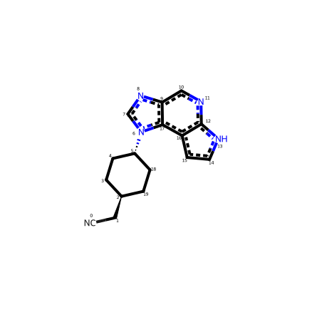 N#CC[C@H]1CC[C@H](n2[c]nc3cnc4[nH]ccc4c32)CC1